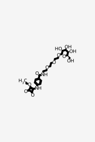 CCOc1c(Nc2ccc(C(=O)NCCOCCOCCOC3O[C@H](CO)[C@@H](O)[C@H](O)[C@@H]3O)cc2)c(=O)c1=O